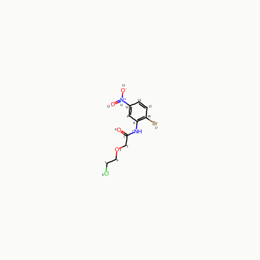 O=C(COCCCl)Nc1cc([N+](=O)[O-])ccc1Br